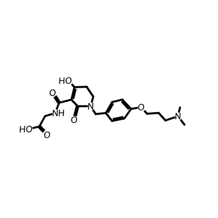 CN(C)CCCOc1ccc(CN2CCC(O)=C(C(=O)NCC(=O)O)C2=O)cc1